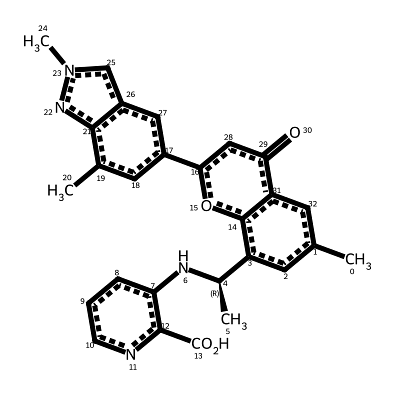 Cc1cc([C@@H](C)Nc2cccnc2C(=O)O)c2oc(-c3cc(C)c4nn(C)cc4c3)cc(=O)c2c1